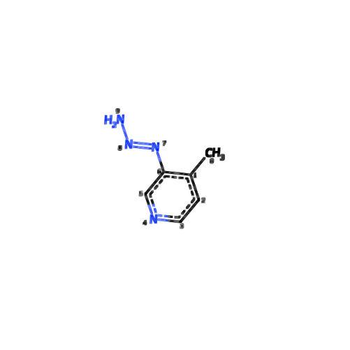 Cc1ccncc1N=NN